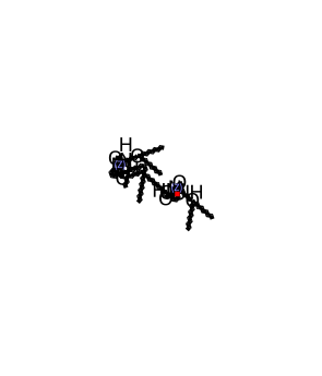 CCCCCCCCCC(CCCCCCCC)OCCCNC(=O)/C(=N\Nc1ccccc1C(=O)OCCCCCCCCC(CCCCCCCCC)C(CCCCCCCCC)CCCCCCCCOC(=O)c1ccccc1N/N=C(/C(C)=O)C(=O)NCCCOC(CCCCCCCC)CCCCCCCCC)C(C)=O